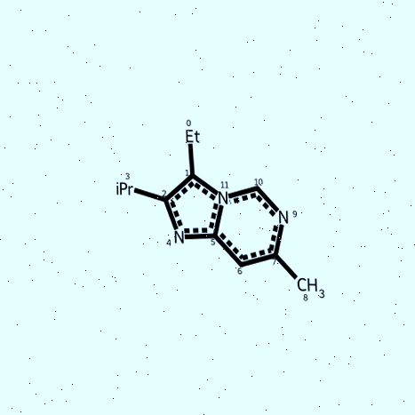 CCc1c(C(C)C)nc2cc(C)ncn12